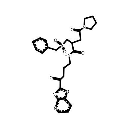 O=C(CCCNC(=O)C(CC(=O)N1CCCC1)CS(=O)(=O)Cc1ccccc1)c1nc2ncccc2o1